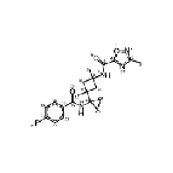 Cc1noc(C(=O)NC2(C)CC(C)(C3(NC(=O)c4ccc(F)cc4)CC3)C2)n1